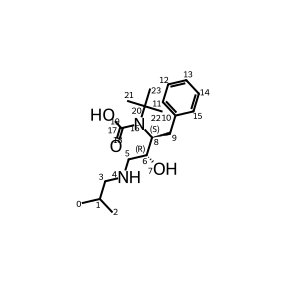 CC(C)CNC[C@@H](O)[C@H](Cc1ccccc1)N(C(=O)O)C(C)(C)C